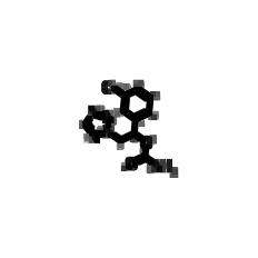 NC(=O)OC(Cn1ncnn1)c1cccc(Cl)c1